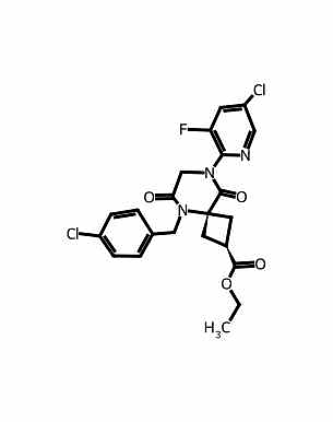 CCOC(=O)[C@H]1C[C@]2(C1)C(=O)N(c1ncc(Cl)cc1F)CC(=O)N2Cc1ccc(Cl)cc1